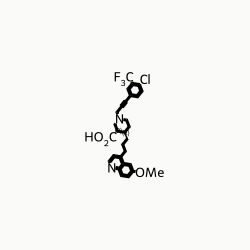 COc1ccc2nccc(CCC[C@@H]3CCN(CC#Cc4ccc(Cl)c(C(F)(F)F)c4)C[C@@H]3C(=O)O)c2c1